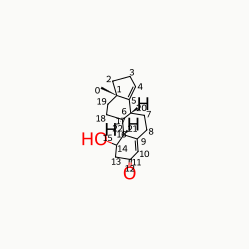 C[C@@]12CCC=C1[C@@H]1CCC3=CC(=O)CC(O)[C@@H]3[C@H]1CC2